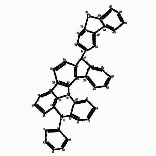 c1ccc(N2c3ccccc3-n3c4c2cccc4c2ccc4c(c23)-c2ccccc2C4c2ccc3oc4ccccc4c3c2)cc1